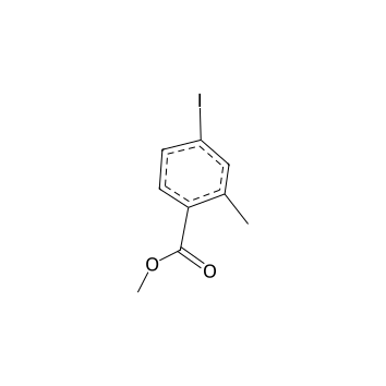 COC(=O)c1ccc(I)cc1C